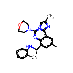 Cc1cc([C@@H](C)Nc2ccccc2C#N)c2nc(N3CCOCC3)n3cc(C(F)(F)F)nc3c2c1